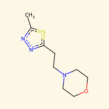 Cc1nnc(CCN2CCOCC2)s1